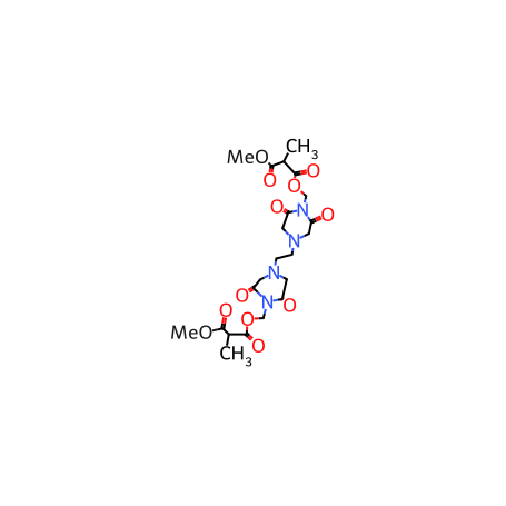 COC(=O)C(C)C(=O)OCN1C(=O)CN(CCN2CC(=O)N(COC(=O)C(C)C(=O)OC)C(=O)C2)CC1=O